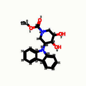 CC(C)(C)OC(=O)N1CC(O)C(O)C(n2c3ccccc3c3ccccc32)C1